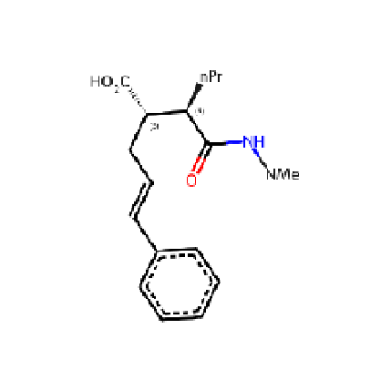 CCC[C@@H](C(=O)NNC)[C@H](CC=Cc1ccccc1)C(=O)O